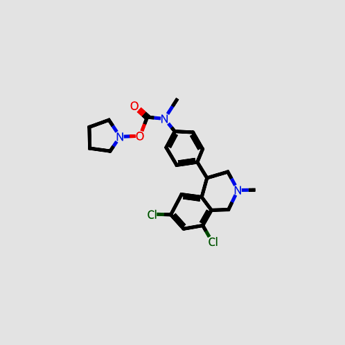 CN1Cc2c(Cl)cc(Cl)cc2C(c2ccc(N(C)C(=O)ON3CCCC3)cc2)C1